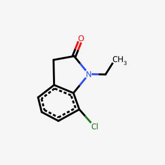 CCN1C(=O)Cc2cccc(Cl)c21